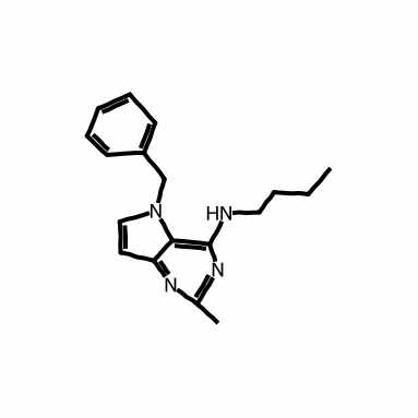 CCCCNc1nc(C)nc2ccn(Cc3ccccc3)c12